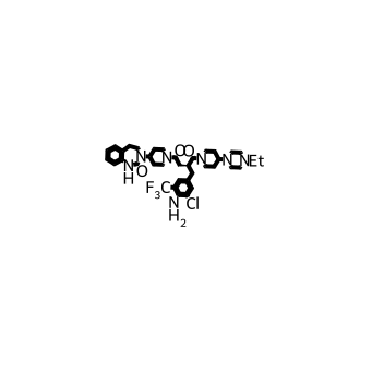 CCN1CCN(C2CCN(C(=O)[C@H](CC(=O)N3CCC(N4CCc5ccccc5NC4=O)CC3)Cc3cc(Cl)c(N)c(C(F)(F)F)c3)CC2)CC1